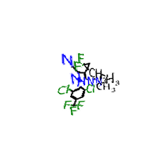 CN(C)C=Nc1c(C2(C)CC2(F)F)c(C#N)nn1-c1c(Cl)cc(C(F)(F)F)cc1Cl